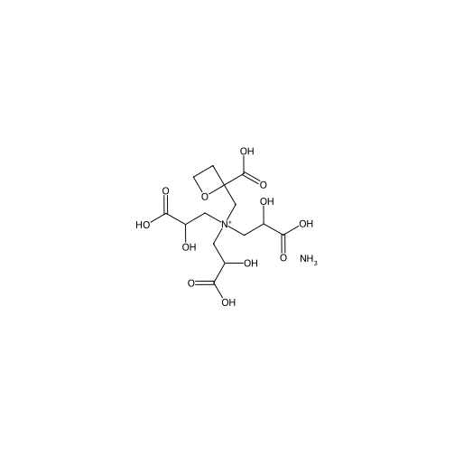 N.O=C(O)C(O)C[N+](CC(O)C(=O)O)(CC(O)C(=O)O)CC1(C(=O)O)CCO1